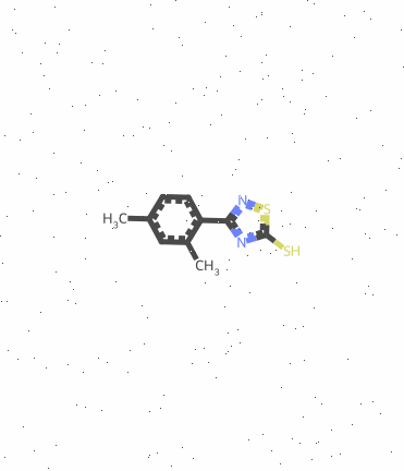 Cc1ccc(-c2nsc(S)n2)c(C)c1